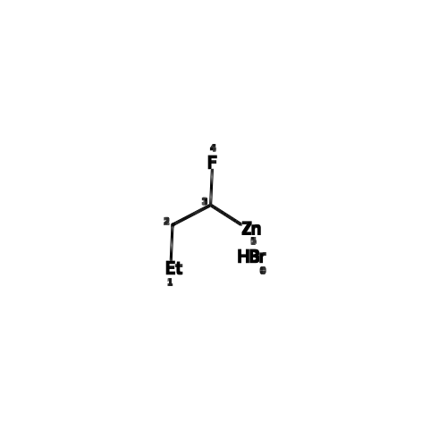 Br.CCC[CH](F)[Zn]